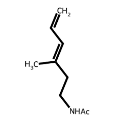 C=C/C=C(\C)CCNC(C)=O